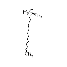 C=CCCCCCCCCCCC(=C)C